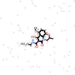 CC1Cn2c(=O)c(C(=O)NCC(=O)O)c(O)c3c(OC(F)(F)F)ccc(c32)O1